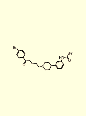 CC(C)C(=O)Nc1cccc(C2CCN(CCCCC(=O)c3ccc(Br)cc3)CC2)c1